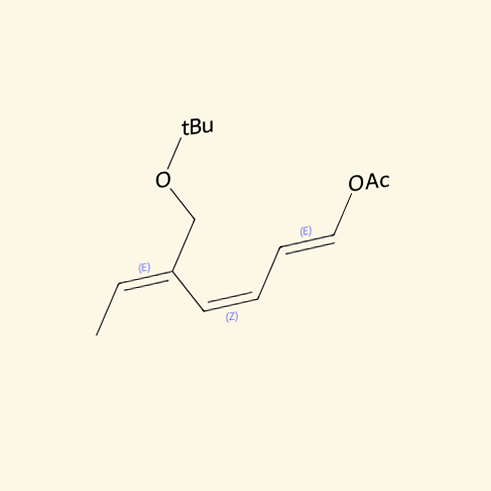 C\C=C(/C=C\C=C\OC(C)=O)COC(C)(C)C